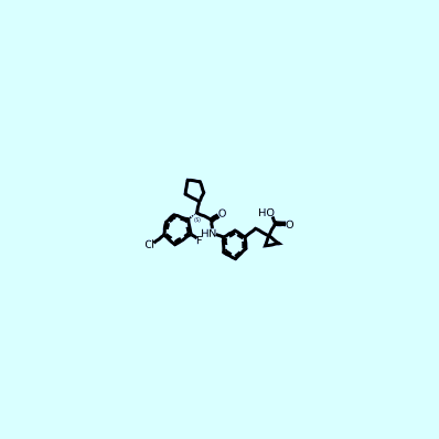 O=C(Nc1cccc(CC2(C(=O)O)CC2)c1)[C@H](c1ccc(Cl)cc1F)C1CCCC1